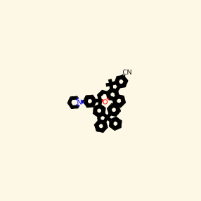 CC1(C)c2cc(C#N)ccc2-c2c1c1c(c3ccccc23)OC(c2ccc(N3CCCCC3)cc2)(c2ccc3c(c2)C(c2ccccc2)(c2ccccc2)c2ccccc2-3)C=C1